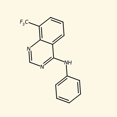 FC(F)(F)c1cccc2c(Nc3ccccc3)ncnc12